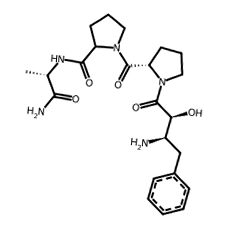 C[C@H](NC(=O)C1CCCN1C(=O)[C@@H]1CCCN1C(=O)[C@@H](O)[C@H](N)Cc1ccccc1)C(N)=O